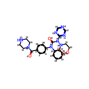 O=C(c1ccc(N(C(=O)N(c2ncncn2)N2CCOCC2)c2ccccc2)cc1)N1CCNCC1